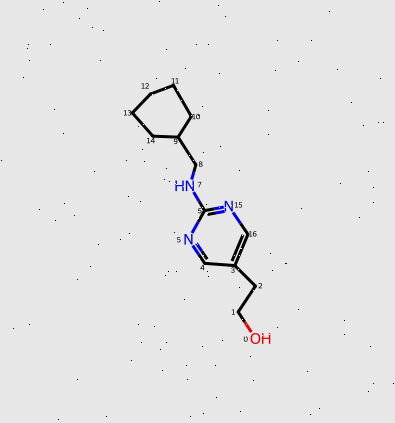 OCCc1cnc(NCC2CCCCC2)nc1